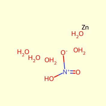 O.O.O.O.O.O=[N+]([O-])O.[Zn]